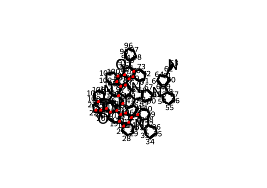 CC(C)(C)c1ccc(N2c3cc(-c4c(-c5ccc6c(c5)oc5ccccc56)cccc4-n4c5ccccc5c5ccccc54)ccc3C3c4ccc(-n5c6ccccc6c6cc(C#N)ccc65)cc4N(c4ccccc4-c4ccccc4)c4cc(-c5c(-c6cccc7c6oc6ccccc67)cccc5-n5c6ccccc6c6ccccc65)cc2c43)c(-c2ccccc2)c1